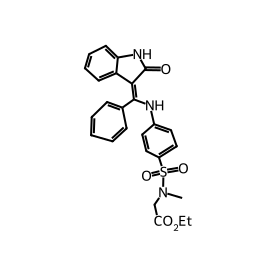 CCOC(=O)CN(C)S(=O)(=O)c1ccc(N/C(=C2\C(=O)Nc3ccccc32)c2ccccc2)cc1